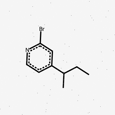 CC[C](C)c1ccnc(Br)c1